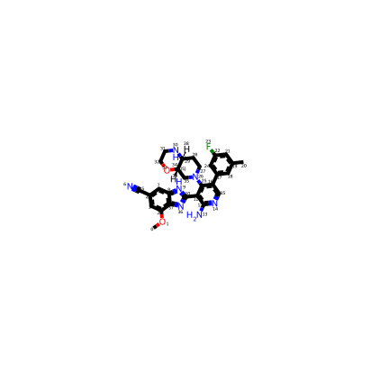 COc1cc(C#N)cc2[nH]c(-c3c(N)ncc(-c4cc(C)cc(F)c4)c3N3CC[C@@H]4NCCO[C@H]4C3)nc12